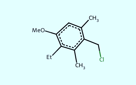 CCc1c(OC)cc(C)c(CCl)c1C